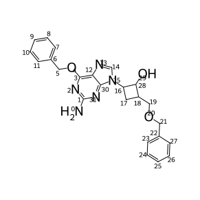 Nc1nc(OCc2ccccc2)c2ncn(C3CC(COCc4ccccc4)C3O)c2n1